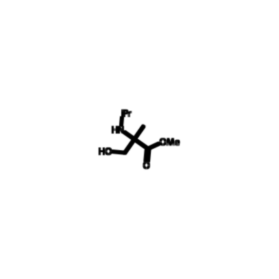 COC(=O)C(C)(CO)NC(C)C